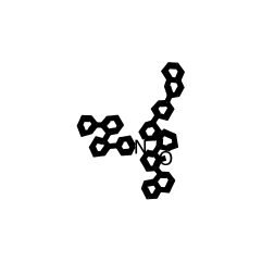 c1ccc(-c2ccccc2-c2ccccc2-c2ccc(N(c3ccc(-c4ccc(-c5ccc6ccccc6c5)cc4)cc3)c3ccc(-c4cccc5ccccc45)c4oc5ccccc5c34)cc2)cc1